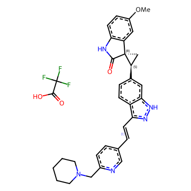 COc1ccc2c(c1)[C@]1(C[C@H]1c1ccc3c(/C=C/c4ccc(CN5CCCCC5)nc4)n[nH]c3c1)C(=O)N2.O=C(O)C(F)(F)F